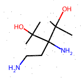 CC(C)(O)C(N)(CCN)C(C)(C)O